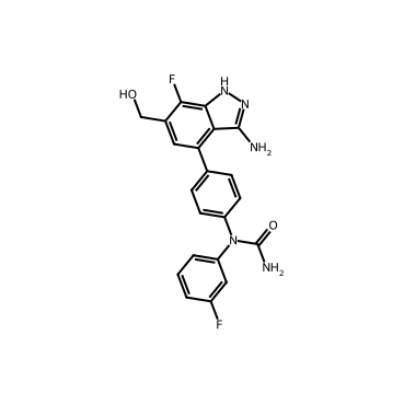 NC(=O)N(c1ccc(-c2cc(CO)c(F)c3[nH]nc(N)c23)cc1)c1cccc(F)c1